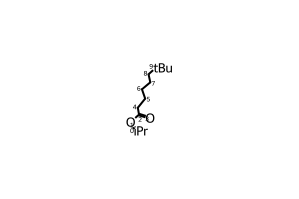 CC(C)OC(=O)CCCCCC(C)(C)C